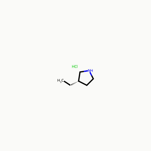 CC[C@H]1CCNC1.Cl